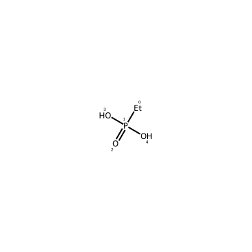 [C]CP(=O)(O)O